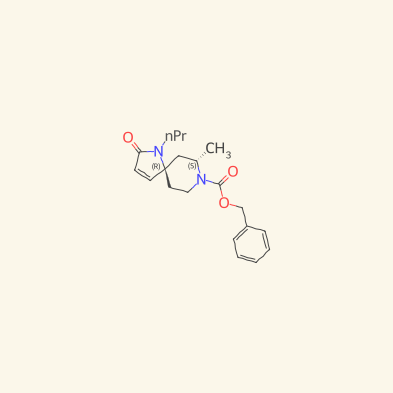 CCCN1C(=O)C=C[C@]12CCN(C(=O)OCc1ccccc1)[C@@H](C)C2